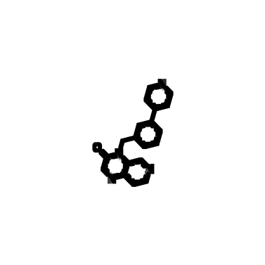 O=c1cnc2ccncc2n1Cc1cccc(-c2ccncc2)c1